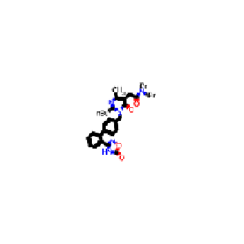 CCCCc1nc(C)c(CC(=O)N(C(C)C)C(C)C)c(=O)n1Cc1ccc(-c2ccccc2-c2noc(=O)[nH]2)cc1